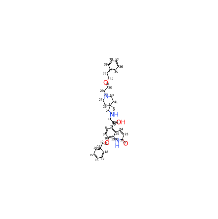 CC1(CNC[C@H](O)c2ccc(OCc3ccccc3)c3[nH]c(=O)ccc23)CCN(CCOCCc2ccccc2)CC1